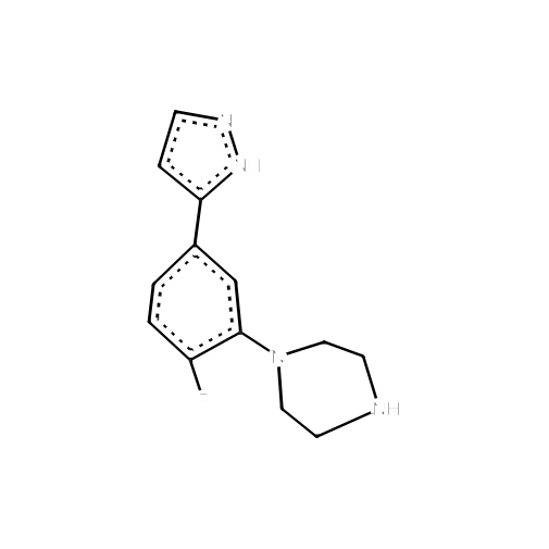 Fc1ccc(-c2ccn[nH]2)cc1N1CCNCC1